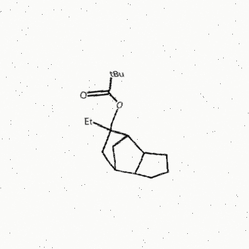 CCC1(OC(=O)C(C)(C)C)CC2CC1C1CCCC21